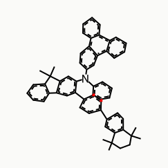 CC1(C)CCC(C)(C)c2cc(-c3ccc(-c4cc5c(cc4N(c4ccccc4)c4ccc6c7ccccc7c7ccccc7c6c4)C(C)(C)c4ccccc4-5)cc3)ccc21